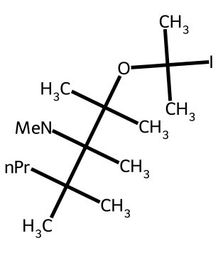 CCCC(C)(C)C(C)(NC)C(C)(C)OC(C)(C)I